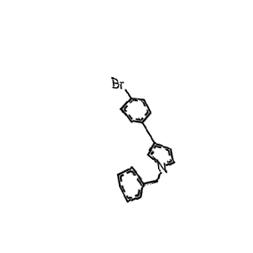 Brc1ccc(-c2ccn(Cc3ccccc3)c2)cc1